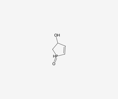 O=[PH]1C=CC(O)C1